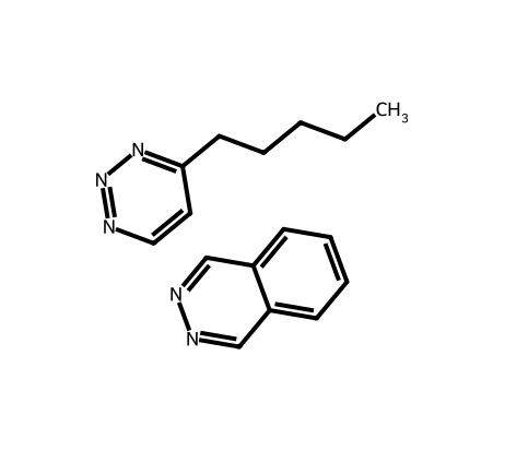 CCCCCc1ccnnn1.c1ccc2cnncc2c1